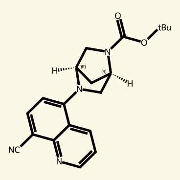 CC(C)(C)OC(=O)N1C[C@H]2C[C@@H]1CN2c1ccc(C#N)c2ncccc12